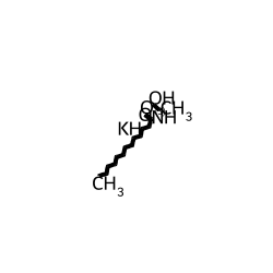 CCCCCCCCCCCCCC(=O)N[C@@H](C)C(=O)O.[KH]